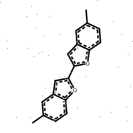 Cc1ccc2oc(-c3cc4cc(C)ccc4o3)cc2c1